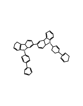 C1=CC(C2C=CC(N3c4ccccc4C4C=C(C5=CC6C(C=C5)C5=C(C=CCC5)N6c5ccc(-c6ccccc6)cc5)C=CC43)CC2)=CCC1